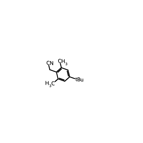 Cc1cc(C(C)(C)C)cc(C)c1CC#N